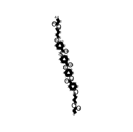 C=CC(=O)OCCCCOc1ccc(C(=O)Oc2ccc(OC(=O)c3ccc(SC(=O)c4ccc(OCCCCOC(=O)C=C)cc4)cc3)cc2)cc1